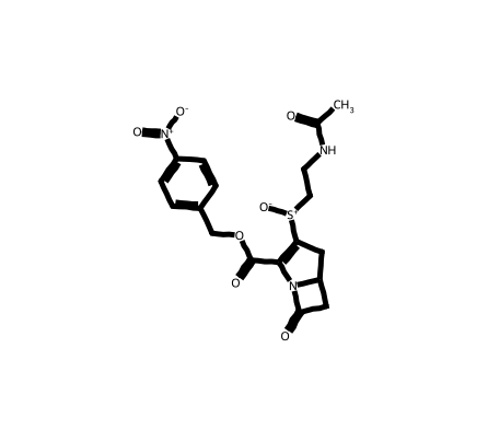 CC(=O)NCC[S+]([O-])C1=C(C(=O)OCc2ccc([N+](=O)[O-])cc2)N2C(=O)CC2C1